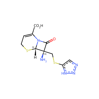 N[C@]1(CSc2cnn[nH]2)C(=O)N2C(C(=O)O)=CCS[C@H]21